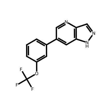 FC(F)(F)Oc1cccc(-c2cnc3cn[nH]c3c2)c1